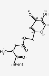 CCCCCC(=O)N(C)CC(=O)OCc1cc(=O)c(O)co1